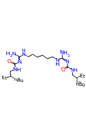 CCCCC(CC)CNC(=O)N=C(N)NCCCCCCNC(N)=NC(=O)NCC(CC)CCCC